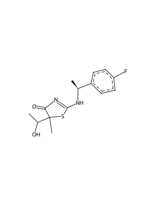 CC(O)C1(C)SC(N[C@@H](C)c2ccc(F)cc2)=NC1=O